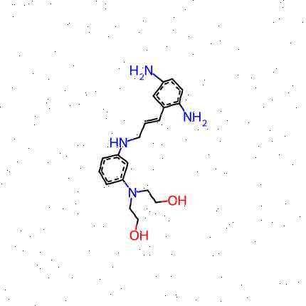 Nc1ccc(N)c(C=CCNc2cccc(N(CCO)CCO)c2)c1